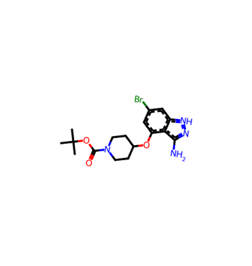 CC(C)(C)OC(=O)N1CCC(Oc2cc(Br)cc3[nH]nc(N)c23)CC1